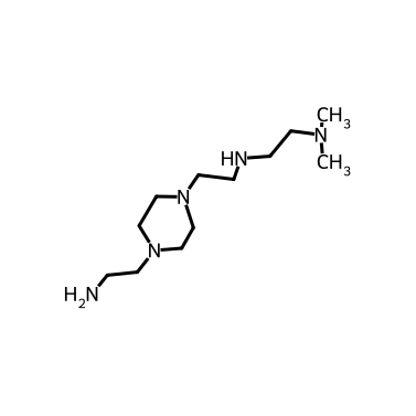 CN(C)CCNCCN1CCN(CCN)CC1